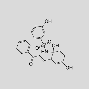 O=C(/C=C/C1C=C(O)C=CC1(O)NS(=O)(=O)c1cccc(O)c1)c1ccccc1